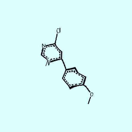 COc1ccc(-c2cc(Cl)ncn2)cc1